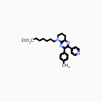 CCOC(=O)CCCCCCN1CCCc2nc(-c3ccncc3)c(-c3ccc(C)cc3)nc21